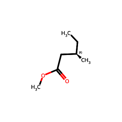 CC[C@@H](C)CC(=O)OC